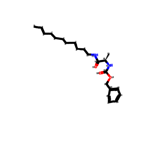 CCCCCCCCCCCNC(=O)[C@H](C)NC(=O)OCc1ccccc1